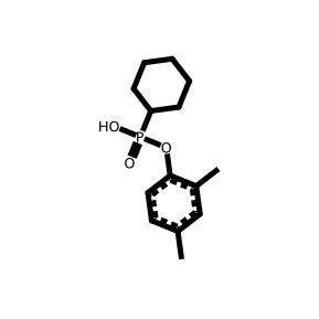 Cc1ccc(OP(=O)(O)C2CCCCC2)c(C)c1